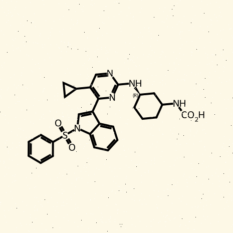 O=C(O)NC1CCC[C@@H](Nc2ncc(C3CC3)c(-c3cn(S(=O)(=O)c4ccccc4)c4ccccc34)n2)C1